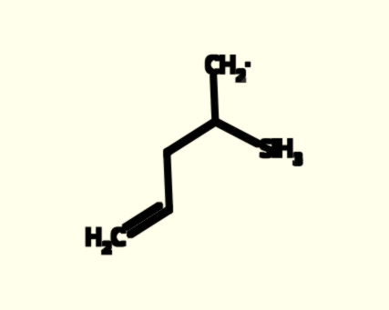 [CH2]C([SiH3])CC=C